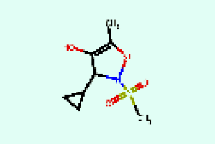 CC1=C(O)C(C2CC2)N(S(C)(=O)=O)O1